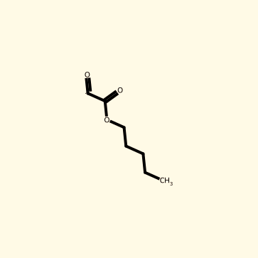 CCCCCOC(=O)[C]=O